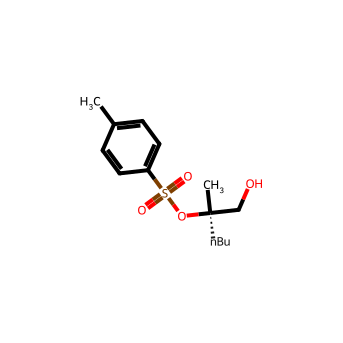 CCCC[C@](C)(CO)OS(=O)(=O)c1ccc(C)cc1